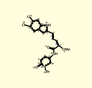 CO/C(=C/C=C/c1cc2cc(Cl)c(Cl)cc2[nH]1)C(=O)Nc1ccc(=O)n(C(C)C)c1